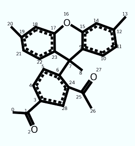 CC(=O)c1ccc(C2(C)c3ccc(C)cc3Oc3cc(C)ccc32)c(C(C)=O)c1